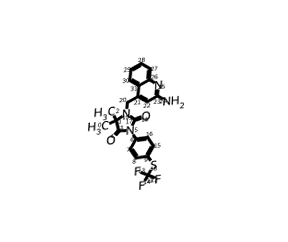 CC1(C)C(=O)N(c2ccc(SC(F)(F)F)cc2)C(=O)N1Cc1cc(N)nc2ccccc12